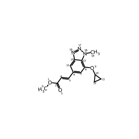 COC(=O)C=Cc1cc(OC2CC2)c2c(c1)nnn2C